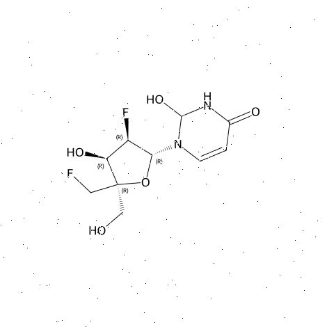 O=C1C=CN([C@@H]2O[C@@](CO)(CF)[C@@H](O)[C@H]2F)C(O)N1